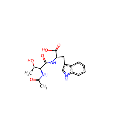 CC(=O)N[C@H](C(=O)N[C@H](Cc1c[nH]c2ccccc12)C(=O)O)[C@@H](C)O